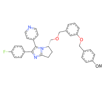 COc1ccc(COc2cccc(COC[C@@H]3CCc4nc(-c5ccc(F)cc5)c(-c5ccncc5)n43)c2)cc1